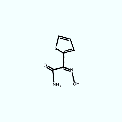 NC(=O)C(=NO)c1cccs1